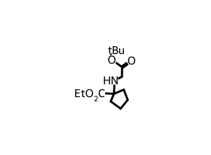 CCOC(=O)C1(NCC(=O)OC(C)(C)C)CCCC1